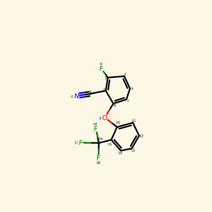 N#Cc1c(F)cccc1Oc1ccccc1C(F)(F)F